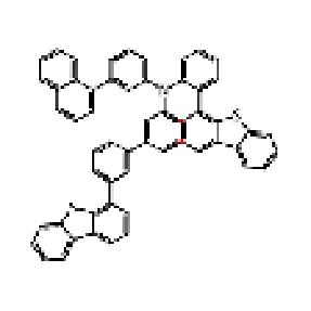 c1cc(-c2cccc(N(c3cccc(-c4cccc5ccccc45)c3)c3ccccc3-c3cccc4c3sc3ccccc34)c2)cc(-c2cccc3c2sc2ccccc23)c1